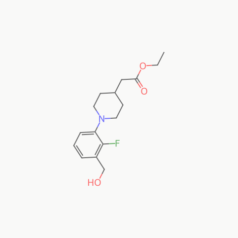 CCOC(=O)CC1CCN(c2cccc(CO)c2F)CC1